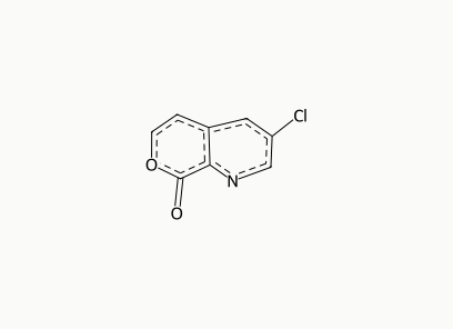 O=c1occc2cc(Cl)cnc12